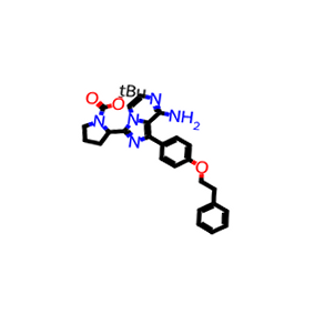 CC(C)(C)OC(=O)N1CCCC1c1nc(-c2ccc(OCCc3ccccc3)cc2)c2c(N)nccn12